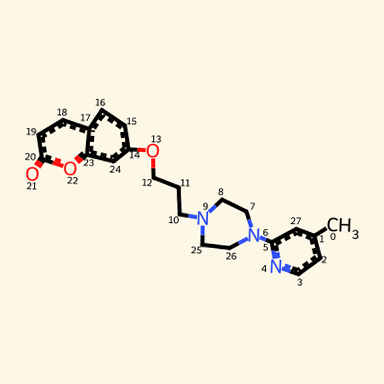 Cc1ccnc(N2CCN(CCCOc3ccc4ccc(=O)oc4c3)CC2)c1